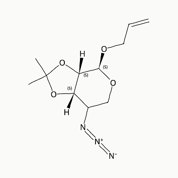 C=CCO[C@H]1OCC(N=[N+]=[N-])[C@@H]2OC(C)(C)O[C@H]12